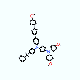 COc1ccc(-c2ccc(-c3ccc(N(c4ccc(N(c5ccc(OC)cc5)c5ccc(OC)cc5)cc4)c4ccc(C(C)(C)c5ccccc5)cc4)cc3)cc2)cc1